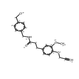 C#CCOc1ccc(CCC(=O)NCc2ccc(CCl)cc2)cc1OC